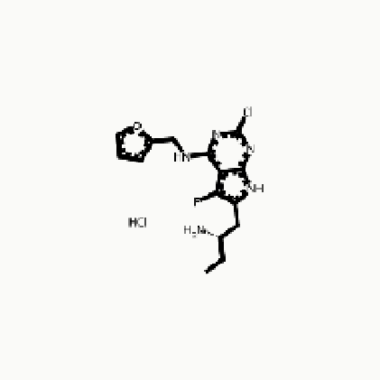 CC[C@H](N)Cc1[nH]c2nc(Cl)nc(NCc3ccco3)c2c1F.Cl